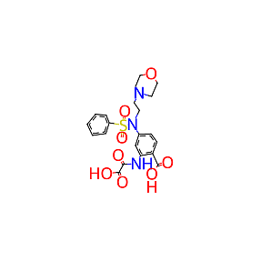 O=C(O)C(=O)Nc1cc(N(CCN2CCOCC2)S(=O)(=O)c2ccccc2)ccc1C(=O)O